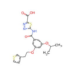 CC(C)Oc1cc(OCCc2ccsc2)cc(C(=O)Nc2nnc(C(=O)O)s2)c1